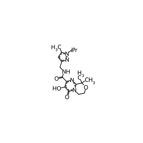 Cc1cc(CNC(=O)c2nc3n(c(=O)c2O)CCOC3(C)C)nn1C(C)C